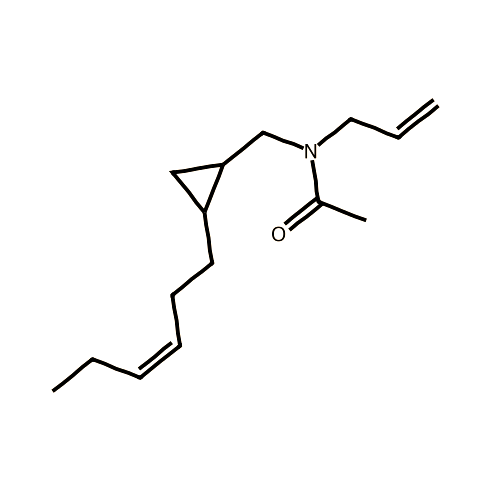 C=CCN(CC1CC1CC/C=C\CC)C(C)=O